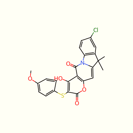 COc1ccc(Sc2c(O)c3c(=O)n4c(cc3oc2=O)C(C)(C)c2cc(Cl)ccc2-4)cc1